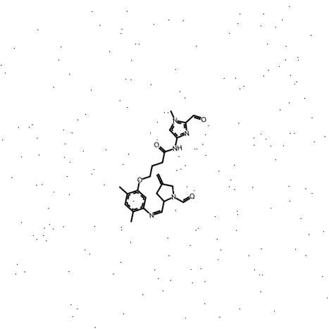 C=C1CC(/C=N\c2cc(OCCCC(=O)Nc3cn(C)c(C=O)n3)c(C)cc2C)N(C=O)C1